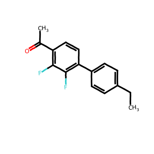 CCc1ccc(-c2ccc(C(C)=O)c(F)c2F)cc1